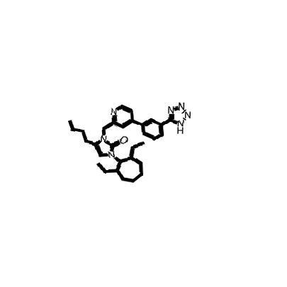 CCCCc1cn(C2C(CC)CCCCC2CC)c(=O)n1Cc1cc(-c2cccc(-c3nnn[nH]3)c2)ccn1